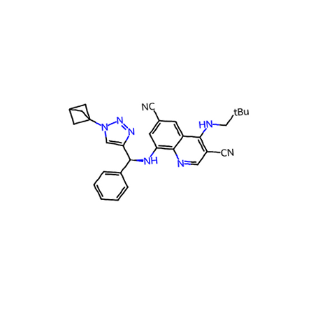 CC(C)(C)CNc1c(C#N)cnc2c(N[C@@H](c3ccccc3)c3cn(C45CC(C4)C5)nn3)cc(C#N)cc12